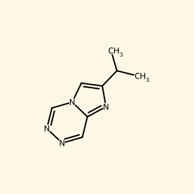 CC(C)c1cn2cnncc2n1